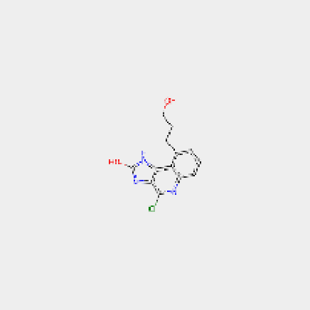 OCCCc1cccc2nc(Cl)c3nc(O)[nH]c3c12